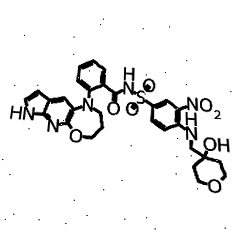 O=C(NS(=O)(=O)c1ccc(NCC2(O)CCOCC2)c([N+](=O)[O-])c1)c1ccccc1N1CCCOc2nc3[nH]ccc3cc21